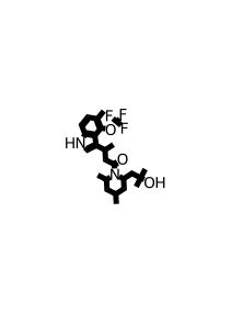 Cc1ccc2[nH]cc(C(C)CC(=O)N3C(C)CC(C)CC3CC(C)(C)O)c2c1OC(F)(F)F